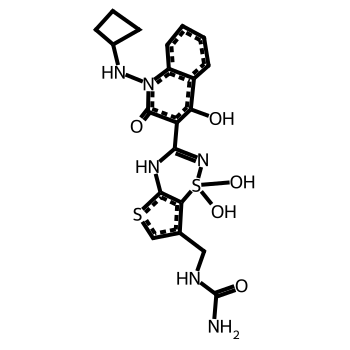 NC(=O)NCc1csc2c1S(O)(O)N=C(c1c(O)c3ccccc3n(NC3CCC3)c1=O)N2